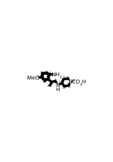 COc1ccc(N)c(C(C)CNC2CCN(C(=O)O)CC2)c1